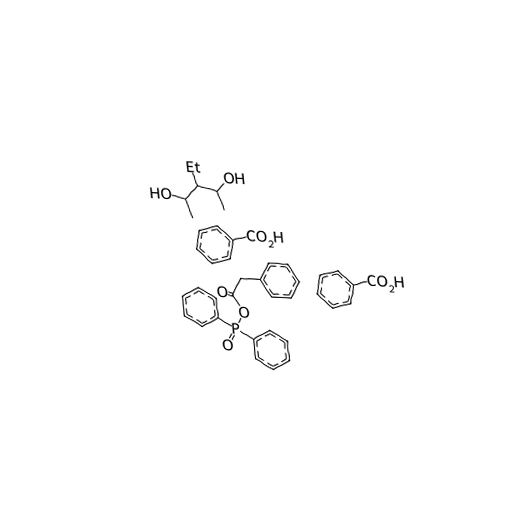 CCC(C(C)O)C(C)O.O=C(Cc1ccccc1)OP(=O)(c1ccccc1)c1ccccc1.O=C(O)c1ccccc1.O=C(O)c1ccccc1